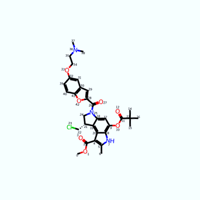 COC(=O)c1c(C)[nH]c2c(OC(=O)C(C)(C)C)cc3c(c12)[C@H](CCl)CN3C(=O)c1cc2cc(OCCN(C)C)ccc2o1